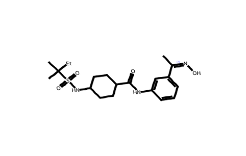 CCC(C)(C)S(=O)(=O)NC1CCC(C(=O)Nc2cccc(/C(C)=N\O)c2)CC1